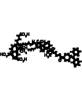 CCC[N+]1=C(/C=C/C=C/C=C2/N(CCCS(=O)(=O)O)c3ccc4c(S(=O)(=O)O)cc(S(=O)(=O)O)cc4c3C2(C)C)C(C)(C)c2c1ccc1c(S(=O)(=O)N(C)CCCC(=O)N3CCC(C(c4ccccc4)c4ccccc4)CC3)cccc21